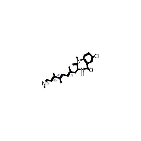 C=C1C(C/C(C)=C/C=C(C)/C(C)=C/C=N\C)NC(=O)c2cc(Cl)ccc2N1C